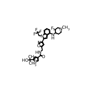 CN1CC[C@@H](Nc2cccc3c2cc(-c2cc(CNC(=O)c4csc(C(C)(C)O)c4)on2)n3CC(F)(F)F)[C@@H](F)C1